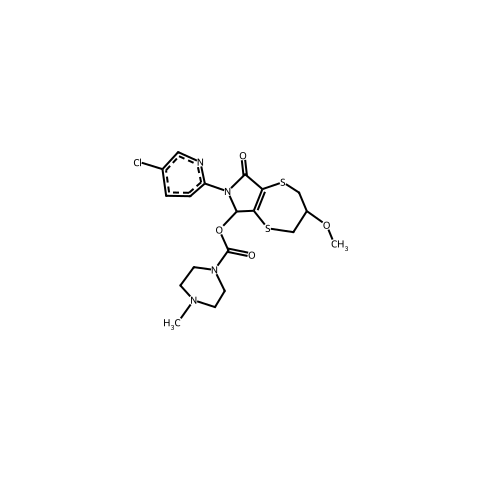 COC1CSC2=C(SC1)C(OC(=O)N1CCN(C)CC1)N(c1ccc(Cl)cn1)C2=O